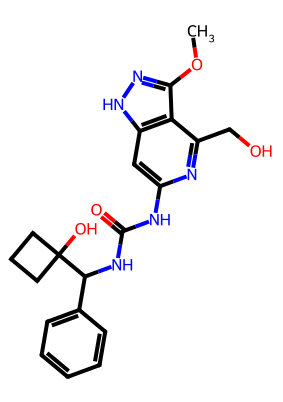 COc1n[nH]c2cc(NC(=O)NC(c3ccccc3)C3(O)CCC3)nc(CO)c12